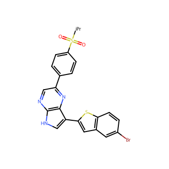 CC(C)S(=O)(=O)c1ccc(-c2cnc3[nH]cc(-c4cc5cc(Br)ccc5s4)c3n2)cc1